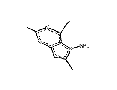 Cc1nc(C)c2c(cc(C)n2N)n1